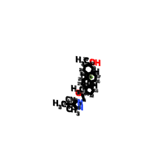 CC(C)(C#N)c1cnn(CC(=O)[C@H]2CC[C@H]3[C@@H]4CC[C@@H]5C[C@](C)(O)CC[C@]5(F)[C@H]4CC[C@]23C)c1